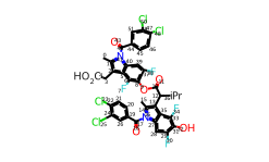 Cc1c(CC(=O)O)c2c(F)c(OC(=O)C(c3c(C)n(C(=O)c4ccc(Cl)c(Cl)c4)c4cc(F)c(O)c(F)c34)C(C)C)c(F)cc2n1C(=O)c1ccc(Cl)c(Cl)c1